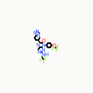 O=c1c(-c2ccc3nncn3c2)nc2cnc(NCC(F)(F)F)nc2n1-c1ccc(OC(F)(F)F)cc1